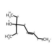 [CH2]CC=CCC(O)(CC)CC